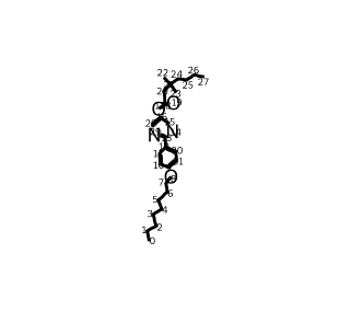 CCCCCCCCOc1ccc(-c2ncc(OC(=O)CC(C)(C)CCCC)cn2)cc1